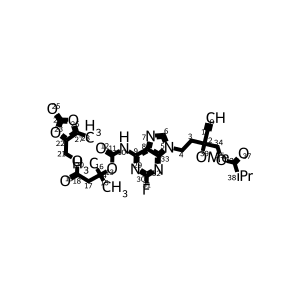 C#CC(CCn1cnc2c(NC(=O)OC(C)(C)CC(=O)OCc3oc(=O)oc3C)nc(F)nc21)(COC(=O)C(C)C)OC